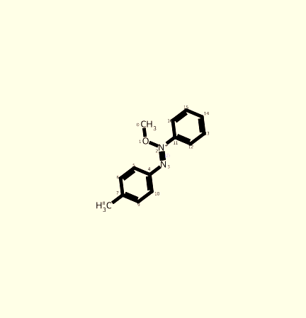 CO/[N+](=N\c1ccc(C)cc1)c1ccccc1